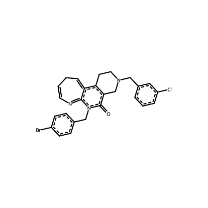 O=c1c2c(c3c(n1Cc1ccc(Br)cc1)=NC=CCC=3)CCN(Cc1cccc(Cl)c1)C2